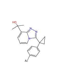 CC(=O)c1ccc(C2(c3nnc4c(C(C)(C)O)cccn34)CC2)cc1